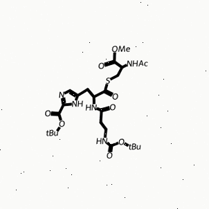 COC(=O)C(CSC(=O)C(Cc1cnc(C(=O)OC(C)(C)C)[nH]1)NC(=O)CCNC(=O)OC(C)(C)C)NC(C)=O